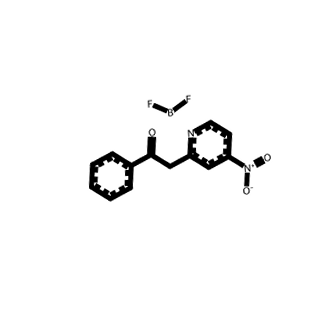 F[B]F.O=C(Cc1cc([N+](=O)[O-])ccn1)c1ccccc1